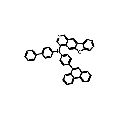 c1ccc(-c2ccc(N(c3ccc(-c4cc5ccccc5c5ccccc45)cc3)c3cncc4cc5c(cc34)oc3ccccc35)cc2)cc1